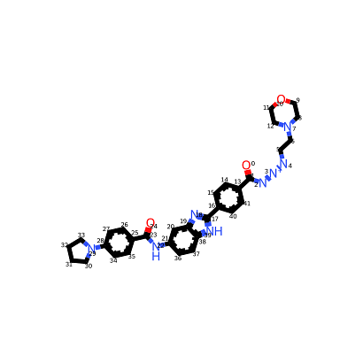 O=C(N=[N+]=NCCN1CCOCC1)c1ccc(-c2nc3cc(NC(=O)c4ccc(N5CCCC5)cc4)ccc3[nH]2)cc1